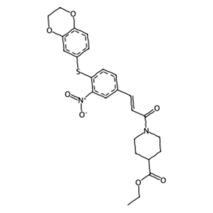 CCOC(=O)C1CCN(C(=O)C=Cc2ccc(Sc3ccc4c(c3)OCCO4)c([N+](=O)[O-])c2)CC1